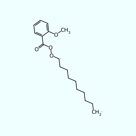 [CH2]CCCCCCCC[CH]OOC(=O)c1ccccc1OC